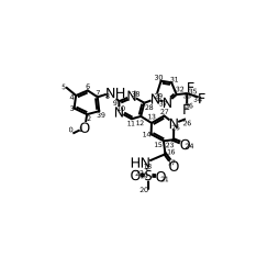 COc1cc(C)cc(Nc2ncc(-c3cc(C(=O)NS(C)(=O)=O)c(=O)n(C)c3)c(-n3ccc(C(F)(F)F)n3)n2)c1